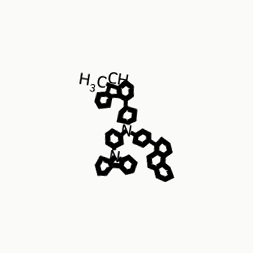 CC1(C)c2ccccc2-c2c(-c3ccc(N(c4ccc(-c5cccc6c5ccc5ccccc56)cc4)c4cccc(-n5c6ccccc6c6ccccc65)c4)cc3)cccc21